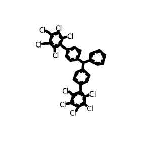 Clc1c(Cl)c(Cl)c(-c2ccc([C](c3ccccc3)c3ccc(-c4c(Cl)c(Cl)c(Cl)c(Cl)c4Cl)cc3)cc2)c(Cl)c1Cl